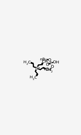 C=CC[N+](CC=C)(CC=C)CC=C.CCCCOP(=O)(O)OCCCC